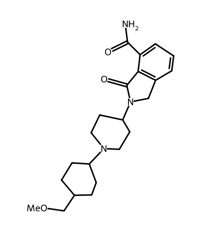 COCC1CCC(N2CCC(N3Cc4cccc(C(N)=O)c4C3=O)CC2)CC1